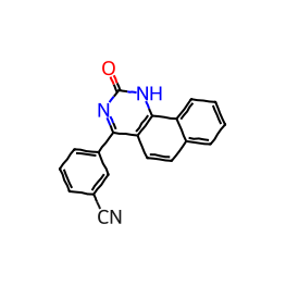 N#Cc1cccc(-c2nc(=O)[nH]c3c2ccc2ccccc23)c1